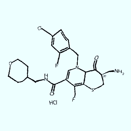 Cl.N[C@H]1CSC2=C(F)C(C(=O)NCC3CCOCC3)=CN(Cc3ccc(Cl)cc3F)C2C1=O